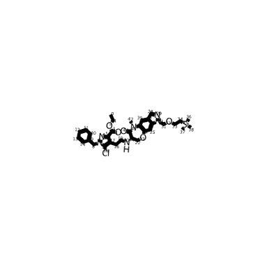 CCOC(=O)c1nn(Cc2ccccc2)c(Cl)c1CCN[C@H]1COc2cc3c(cnn3COCC[Si](C)(C)C)cc2N(C)C1=O